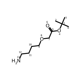 CC(C)(C)OC(=O)COCCCCN